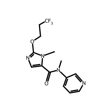 CN(C(=O)c1cnc(OCCC(F)(F)F)n1C)c1cccnc1